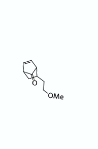 COCCC1CC2C=CC1C2=O